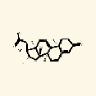 CCCC(=O)O[C@]1(C(C)=O)[C@@H](C)C[C@H]2[C@@H]3CCC4=CC(=O)CC[C@]4(C)C3=CC[C@@]21C